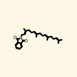 CC(C)=CCC/C(C)=C/CC/C(C)=C/CC/C(C)=C/CN1C(=O)c2ccccc2C1=O